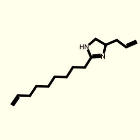 C=CCCCCCCCC1=NC(CC=C)CN1